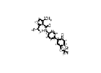 Cc1coc(C(F)F)c1C(=O)Nc1ccc(-c2cc3c(cc2Cl)OC(F)(F)O3)cn1